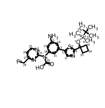 CC(C)(C)[Si](C)(C)OC1(c2ncc(-c3cc(N)cc(N(C(=O)O)c4nccc(CF)n4)c3)s2)CCC1